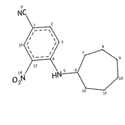 N#Cc1ccc(NC2CCCCCC2)c([N+](=O)[O-])c1